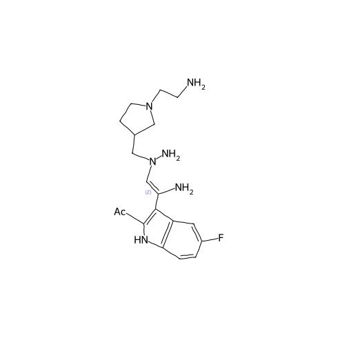 CC(=O)c1[nH]c2ccc(F)cc2c1/C(N)=C/N(N)CC1CCN(CCN)C1